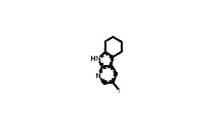 Ic1cnc2[nH]c3c(c2c1)CCCC3